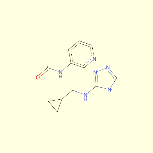 C1=NN=C(NCC2CC2)[N]1.O=[C]Nc1cccnc1